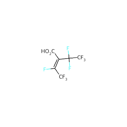 O=C(O)C(=C(F)C(F)(F)F)C(F)(F)C(F)(F)F